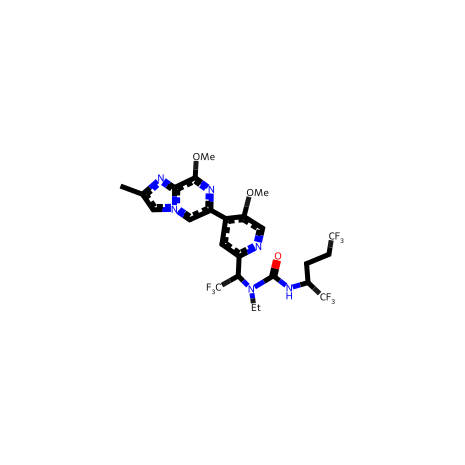 CCN(C(=O)NC(CCC(F)(F)F)C(F)(F)F)C(c1cc(-c2cn3cc(C)nc3c(OC)n2)c(OC)cn1)C(F)(F)F